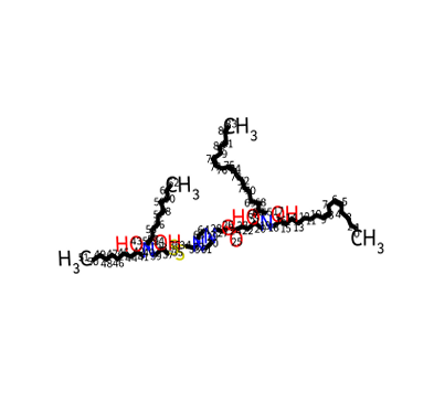 CCCCC/C=C\C/C=C\CCCCCCC(O)CN(CCCCC(=O)OCCN1CCN(CCSSCCCN(CC(O)CCCCCCCC)CC(O)CCCCCCCC)CC1)CC(O)CCCCCC/C=C\C/C=C\CCCCC